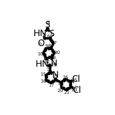 O=C1NC(=S)S/C1=C/c1ccc2[nH]c(-c3cccc(-c4ccc(Cl)c(Cl)c4)n3)nc2c1